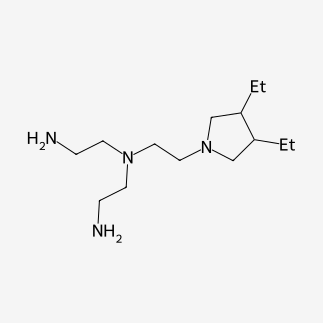 CCC1CN(CCN(CCN)CCN)CC1CC